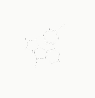 O=C1c2ccccc2[C@]2(c3ccc(Br)cc3)SCCN12